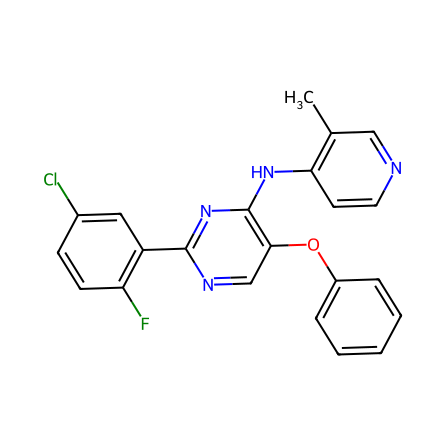 Cc1cnccc1Nc1nc(-c2cc(Cl)ccc2F)ncc1Oc1ccccc1